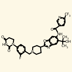 CC(C)(O)c1cc2nc(C3CCN(Cc4ccc(N5CCC(=O)NC5=O)cc4F)CC3)oc2cc1NC(=O)c1ccc(C(F)(F)F)nc1